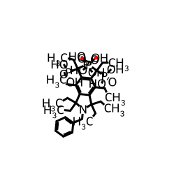 CCc1c2c(c(CC)c(C(CC)(P(=O)(O)O)P(=O)(O)O)c1C(CC)(P(=O)(O)O)P(=O)(O)O)C(CC)(CC)N(Cc1ccccc1)C2(CC)CC